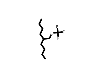 CCCCC(CCCC)COC(F)(F)F